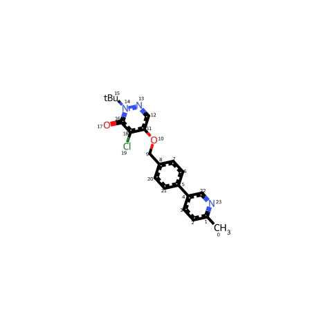 Cc1ccc(-c2ccc(COc3cnn(C(C)(C)C)c(=O)c3Cl)cc2)cn1